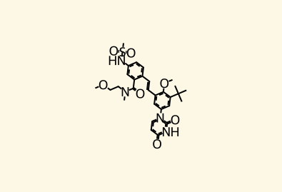 COCCN(C)C(=O)c1cc(NS(C)(=O)=O)ccc1C=Cc1cc(-n2ccc(=O)[nH]c2=O)cc(C(C)(C)C)c1OC